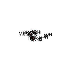 CC[C@H]1OC(=O)[C@H](C)[C@@H](O[C@H]2C[C@@](C)(OC)[C@@H](O)[C@H](C)O2)[C@H](C)[C@@H](O[C@@H]2O[C@H](C)C[C@H](N(C)Cc3ccc(-c4cn(CCCCCCn5cccc(O)c5=O)nn4)cc3)[C@@H]2O)[C@](C)(O)C[C@@H](C)CN(C)[C@H](C)[C@@H](O)[C@]1(C)O